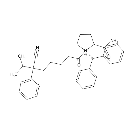 CC(C)C(C#N)(CCCCC(=O)[N@@+]1(C(c2ccccc2)c2ccccc2)CCCC1C(N)=O)c1ccccn1